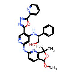 COC1OC(C)(C)c2nc(Nc3cc(N[C@H](CO)c4ccccc4)c(-c4nnc(-c5ccccn5)o4)cn3)ccc21